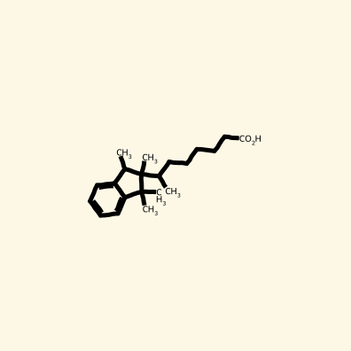 CC(CCCCCC(=O)O)C1(C)C(C)c2ccccc2C1(C)C